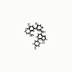 CC(C)N1CCOc2c(F)cc(-c3nc(Nc4ccc(N5CCN(C)CC5)c5[nH]ccc45)ncc3F)cc21